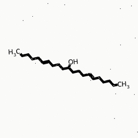 CCCCCC=CCCCC(O)CCCC=CCCCCC